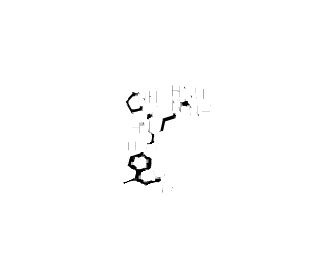 Cc1cc(=O)oc2cc(NC(=O)[C@H](CCCNC(=N)N)NC(=O)[C@@H]3CCCN3)ccc12